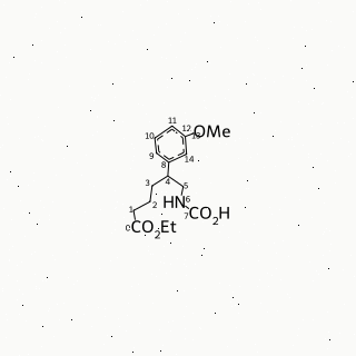 CCOC(=O)CCCC(CNC(=O)O)c1cccc(OC)c1